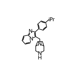 CC(C)c1ccc(-c2nc3ccccn3c2CN2C3CCC2CNC3)cc1